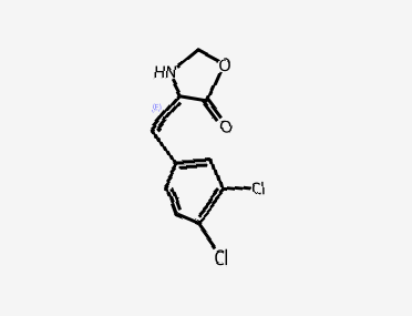 O=C1OCN/C1=C/c1ccc(Cl)c(Cl)c1